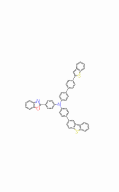 c1ccc2sc(-c3ccc(-c4ccc(N(c5ccc(-c6ccc7sc8ccccc8c7c6)cc5)c5ccc(-c6nc7ccccc7o6)cc5)cc4)cc3)cc2c1